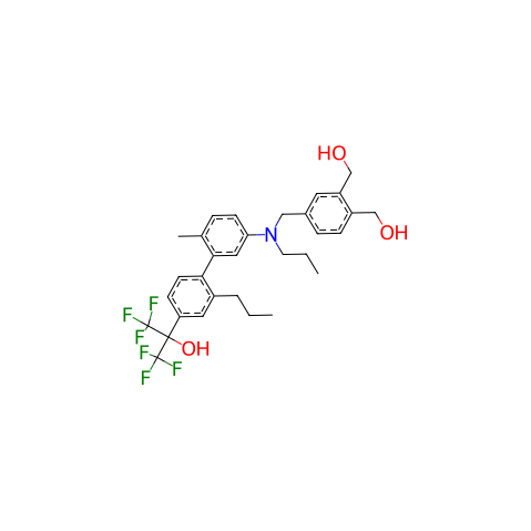 CCCc1cc(C(O)(C(F)(F)F)C(F)(F)F)ccc1-c1cc(N(CCC)Cc2ccc(CO)c(CO)c2)ccc1C